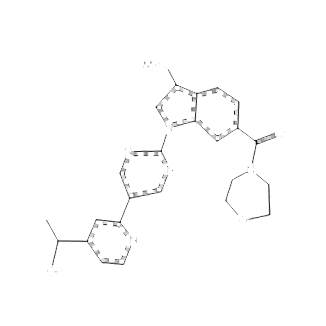 CSc1cn(-c2ncc(-c3cc(C(C)O)ccn3)cn2)c2cc(C(=O)N3CCOCC3)ccc12